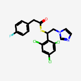 O=C(Cc1ccc(F)cc1)SC(Cn1ccnc1)c1c(Cl)cc(Cl)cc1Cl